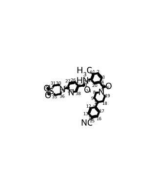 Cc1ccc(C(=O)N2CCC(c3ccc(C#N)cc3)CC2)cc1NC(=O)c1ccc(N2CCS(=O)(=O)CC2)nc1